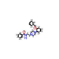 O=C(NCCN1CCN(c2ccccc2OCc2ccccc2)CC1)c1ccccc1